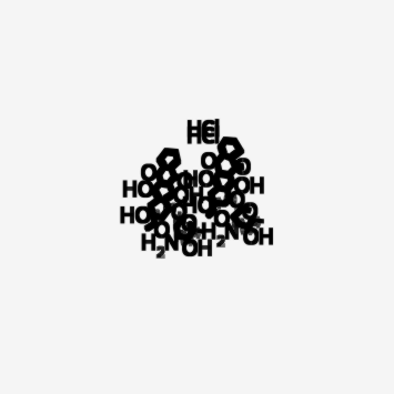 CC(=O)[C@]1(O)Cc2c(O)c3c(c(O)c2[C@@H](O[C@H]2C[C@H](N)[C@H](O)[C@H](C)O2)C1)C(=O)c1ccccc1C3=O.CC(=O)[C@]1(O)Cc2c(O)c3c(c(O)c2[C@@H](O[C@H]2C[C@H](N)[C@H](O)[C@H](C)O2)C1)C(=O)c1ccccc1C3=O.Cl.Cl